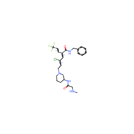 CNCC(=O)NC1CCCN(C/C=C(Cl)/C=C(\C=C\C(F)(F)F)C(=O)NCc2ccccc2)C1